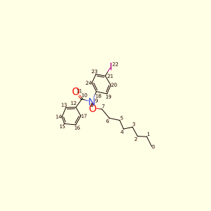 CCCCCCCCON(C(=O)c1ccccc1)c1ccc(I)cc1